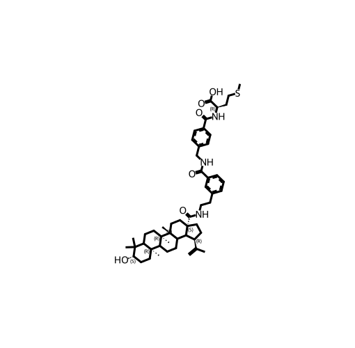 C=C(C)[C@@H]1CC[C@]2(C(=O)NCCc3cccc(C(=O)NCc4ccc(C(=O)N[C@H](CCSC)C(=O)O)cc4)c3)CC[C@]3(C)C(CCC4[C@@]5(C)CC[C@H](O)C(C)(C)C5CC[C@]43C)C12